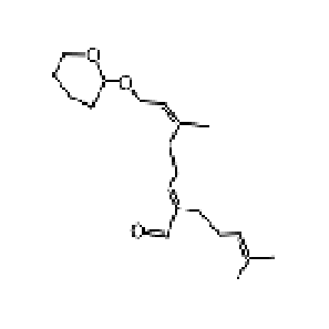 CC(C)=CCC/C(C=O)=C\CC/C(C)=C\COC1CCCCO1